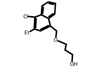 CCc1cc(COCCCO)c2ccccc2c1Cl